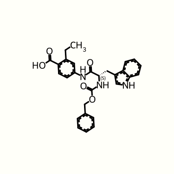 CCc1cc(NC(=O)[C@H](Cc2c[nH]c3ccccc23)NC(=O)OCc2ccccc2)ccc1C(=O)O